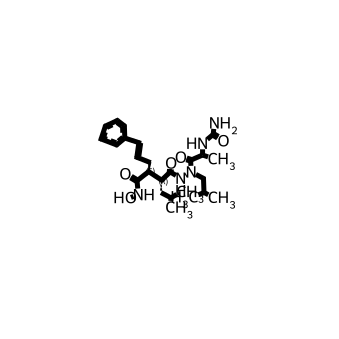 CC(C)C[C@@H](C(=O)NN(CC(C)C)C(=O)C(C)NC(N)=O)[C@H](CC=Cc1ccccc1)C(=O)NO